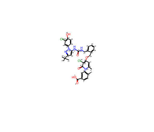 Cc1ccc(C(=O)O)cc1-n1c(C)cc(OCc2ccccc2CNC(=O)Nc2cc(C(C)(C)C)nn2-c2ccc(O)c(Cl)c2)c(Cl)c1=O